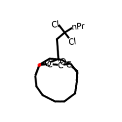 [CH2]CCC(Cl)(Cl)C[C]1OC2CCC(O1)C1CCCCCC(CCCCC1)C2